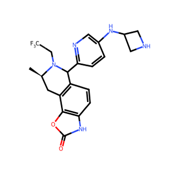 C[C@@H]1Cc2c(ccc3[nH]c(=O)oc23)C(c2ccc(NC3CNC3)cn2)N1CC(F)(F)F